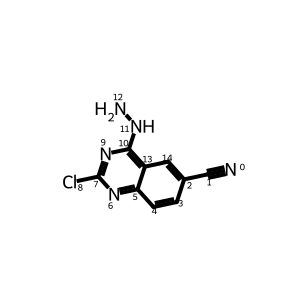 N#Cc1ccc2nc(Cl)nc(NN)c2c1